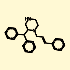 C(=Cc1ccccc1)CN1CCNCC1C(c1ccccc1)c1ccccc1